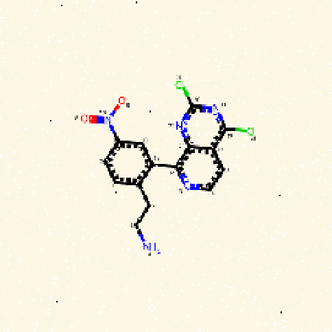 NCCc1ccc([N+](=O)[O-])cc1-c1nccc2c(Cl)nc(Cl)nc12